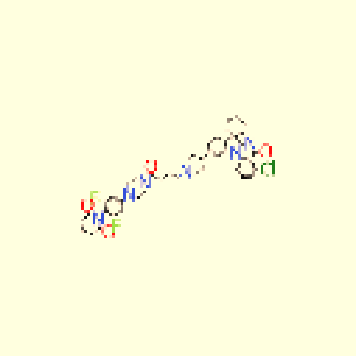 O=C(CCCN1CCC(c2ccc3c(c2)-n2c(nc(=O)c4c(Cl)cccc42)C32CCCCC2)CC1)N1CCN(c2cc(F)c(N3C(=O)CCCC3=O)c(F)c2)CC1